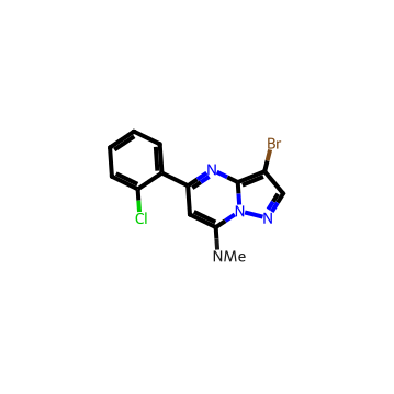 CNc1cc(-c2ccccc2Cl)nc2c(Br)cnn12